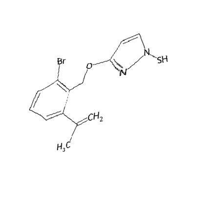 C=C(C)c1cccc(Br)c1COc1ccn(S)n1